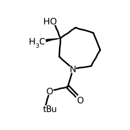 CC(C)(C)OC(=O)N1CCCC[C@@](C)(O)C1